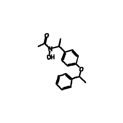 CC(=O)N(O)C(C)c1ccc(OC(C)c2ccccc2)cc1